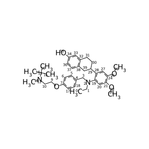 CCN(Cc1ccc(OCCN(C)C(C)(C)C)cc1)c1cc(OC)c(OC)cc1C1CCc2cc(O)ccc2C1